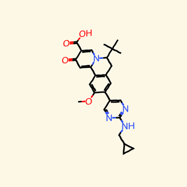 COc1cc2c(cc1-c1cnc(NCC3CC3)nc1)CC(C(C)(C)C)n1cc(C(=O)O)c(=O)cc1-2